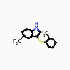 FC(F)(F)c1ccc2[nH]cc(Sc3ccccc3C(F)(F)F)c2c1